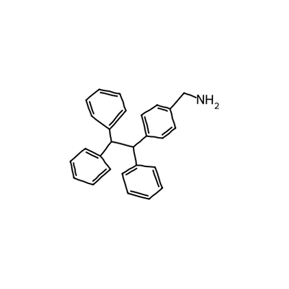 NCc1ccc(C(c2ccccc2)C(c2ccccc2)c2ccccc2)cc1